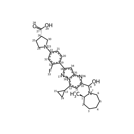 C[C@@H]1CCCCCN1C(O)c1cc(C2CC2)n2nc(-c3ccc(N4CC[C@H](C(=O)O)C4)cc3F)cc2n1